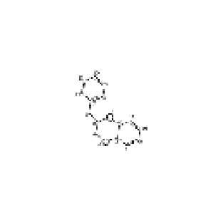 C1=CC2OCC(Cc3ccccc3)OC2C=C1